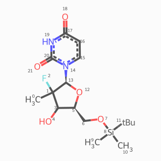 CC1(F)C(O)[C@H](CO[Si](C)(C)C(C)(C)C)O[C@@H]1n1ccc(=O)[nH]c1=O